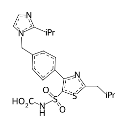 CC(C)Cc1nc(-c2ccc(Cn3ccnc3C(C)C)cc2)c(S(=O)(=O)NC(=O)O)s1